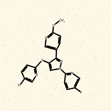 COc1ccc(-c2nn(-c3ccc(F)cn3)cc2Sc2ccc(Cl)cn2)cn1